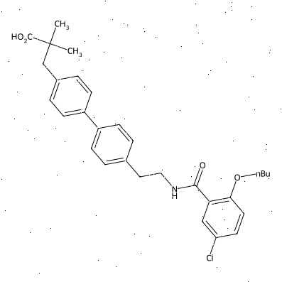 CCCCOc1ccc(Cl)cc1C(=O)NCCc1ccc(-c2ccc(CC(C)(C)C(=O)O)cc2)cc1